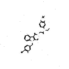 CCN(C(=O)Cn1ncc2c(c1=O)c1ccccc1n2Cc1ccc(C#N)c(F)c1)c1ccc2c(c1)OC(F)(F)O2